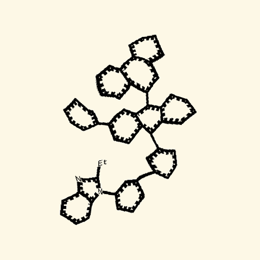 CCc1nc2ccccc2n1-c1cccc(-c2cccc(-c3c4ccccc4c(-c4cc5ccccc5c5ccccc45)c4cc(-c5ccccc5)ccc34)c2)c1